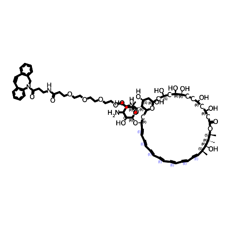 C[C@@H]1[C@H](O)[C@@H](C)/C=C/C=C/C=C/C=C/C=C/C=C/C=C/[C@H](O[C@@H]2O[C@H](C)[C@@H](O)C(N)[C@@H]2O)CC2O[C@](O)(C[C@@H](O)C[C@@H](O)[C@H](O)CC[C@@H](O)C[C@@H](O)CC(=O)O[C@H]1C)C[C@H](O)[C@H]2C(=O)NCCOCCOCCOCCOCCC(=O)NCCC(=O)N1Cc2ccccc2C#Cc2ccccc21